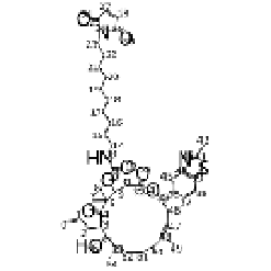 C=CC[C@H]1C(=O)C(C)(C)[C@@H](OC(=O)NCCCCCCCCCCN2C(=O)C=CC2=O)CC(=O)O[C@H](c2ccc3sc(C)nc3c2)C/C=C(/C)CCC[C@H](C)[C@@H]1O